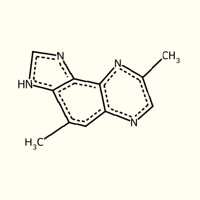 Cc1cnc2cc(C)c3[nH]cnc3c2n1